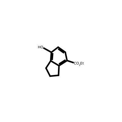 CCOC(=O)c1ccc(O)c2c1CCC2